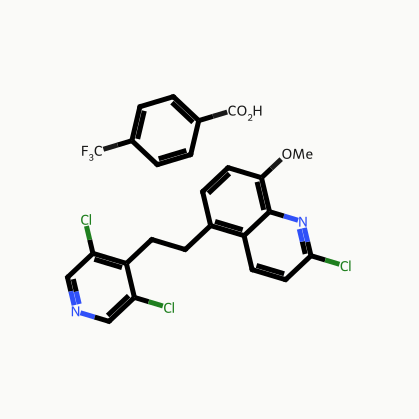 COc1ccc(CCc2c(Cl)cncc2Cl)c2ccc(Cl)nc12.O=C(O)c1ccc(C(F)(F)F)cc1